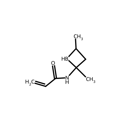 C=CC(=O)NC1(C)BC(C)C1